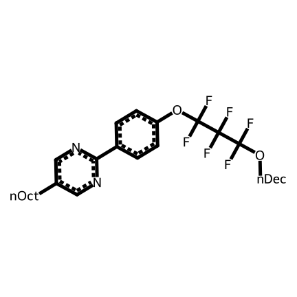 CCCCCCCCCCOC(F)(F)C(F)(F)C(F)(F)Oc1ccc(-c2ncc(CCCCCCCC)cn2)cc1